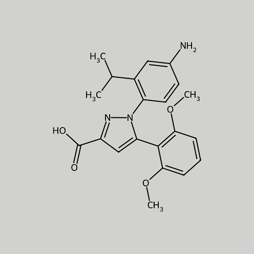 COc1cccc(OC)c1-c1cc(C(=O)O)nn1-c1ccc(N)cc1C(C)C